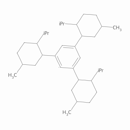 CC1CCC(C(C)C)C(c2[c]c(C3CC(C)CCC3C(C)C)cc(C3CC(C)CCC3C(C)C)c2)C1